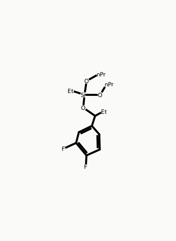 CCCO[Si](CC)(OCCC)OC(CC)c1ccc(F)c(F)c1